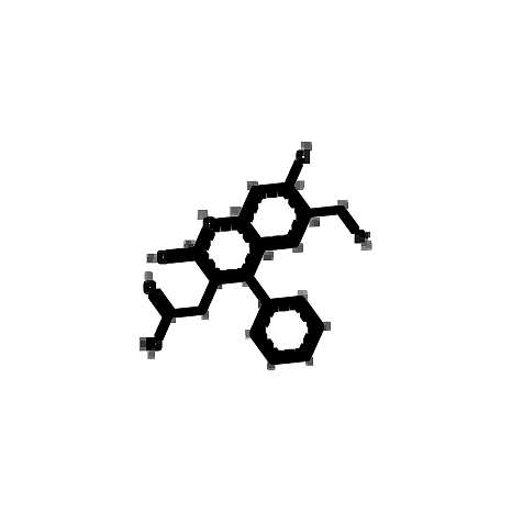 O=C(O)Cc1c(-c2ccccc2)c2cc(CBr)c(Cl)cc2oc1=O